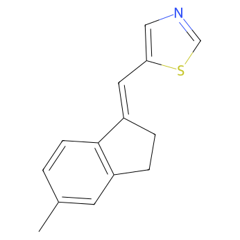 Cc1ccc2c(c1)CCC2=Cc1cncs1